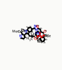 CCn1c(-c2cccnc2C(C)OC)c(CC(C)(C)CO[Si](c2ccccc2)(c2ccccc2)C(C)(C)C)c2cc(-c3noc(CC(NC(=O)OC(C)(C)C)C(=O)OC)n3)ccc21